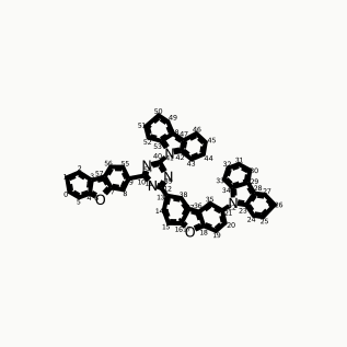 c1ccc2c(c1)oc1cc(-c3nc(-c4ccc5oc6ccc(-n7c8ccccc8c8ccccc87)cc6c5c4)nc(-n4c5ccccc5c5ccccc54)n3)ccc12